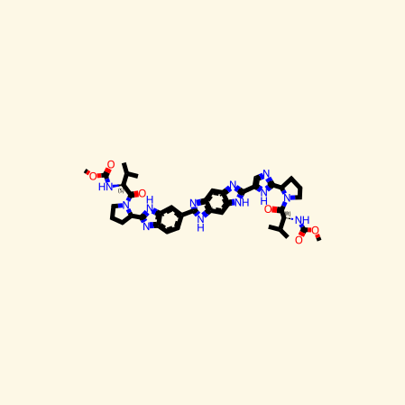 COC(=O)N[C@H](C(=O)N1CCCC1c1nc2ccc(-c3nc4cc5nc(-c6cnc(C7CCCN7C(=O)[C@H](NC(=O)OC)C(C)C)[nH]6)[nH]c5cc4[nH]3)cc2[nH]1)C(C)C